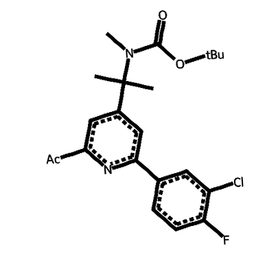 CC(=O)c1cc(C(C)(C)N(C)C(=O)OC(C)(C)C)cc(-c2ccc(F)c(Cl)c2)n1